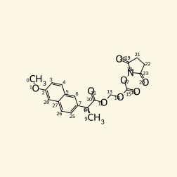 COc1ccc2cc([C@H](C)C(=O)OCOC(=O)ON3C(=O)CCC3=O)ccc2c1